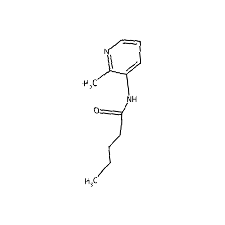 [CH2]c1ncccc1NC(=O)CCCC